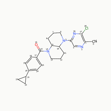 N#Cc1ncc(N2CCCC3C2CCCN3C(=O)c2ccc(C3CC3)cc2)nc1Cl